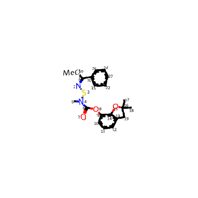 COC(=NSN(C)C(=O)Oc1cccc2c1OC(C)(C)C2)c1ccccc1